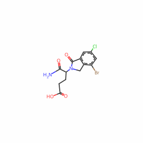 NC(=O)C(CCC(=O)O)N1Cc2c(Br)cc(Cl)cc2C1=O